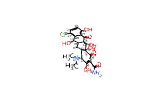 CN(C)[C@@H]1C(O)=C(C(N)=O)C(=O)C2(O)C(O)=C3C(=O)c4c(O)ccc(Cl)c4C(O)C3CC12